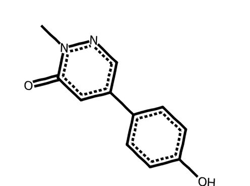 Cn1ncc(-c2ccc(O)cc2)cc1=O